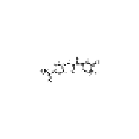 NC(=O)c1ccc(CC(=O)Nc2ccc(Cl)c(Cl)c2)cc1